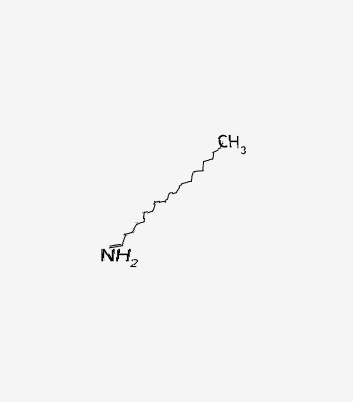 CCCCCCCCCCCCCCCCCCC/C=C/N